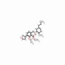 CCCC1CCC(C)C(SCc2ccc(C3CCOC3)c(OC)c2C(=O)OC)C1